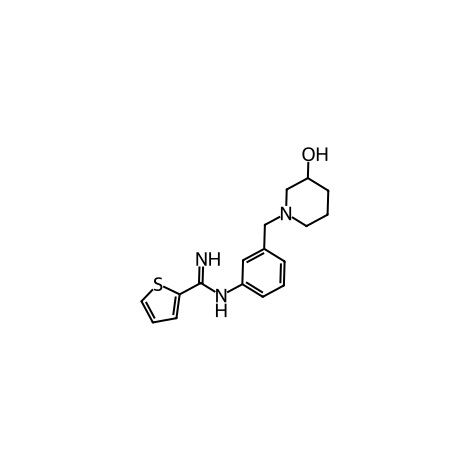 N=C(Nc1cccc(CN2CCCC(O)C2)c1)c1cccs1